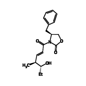 CC[C@@H](O)[C@@H](C)C=CC(=O)N1C(=O)OC[C@@H]1Cc1ccccc1